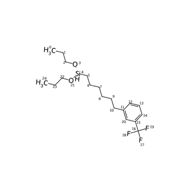 CCCO[SiH](CCCCCCc1cccc(C(F)(F)F)c1)OCCC